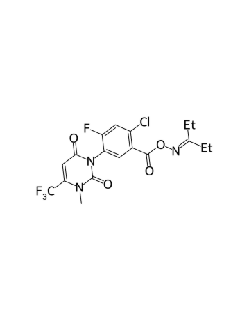 CCC(CC)=NOC(=O)c1cc(-n2c(=O)cc(C(F)(F)F)n(C)c2=O)c(F)cc1Cl